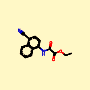 CCOC(=O)C(=O)Nc1ccc(C#N)c2ccccc12